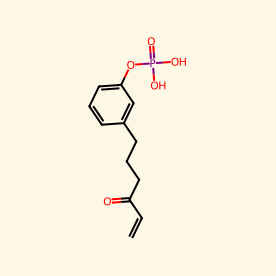 C=CC(=O)CCCc1cccc(OP(=O)(O)O)c1